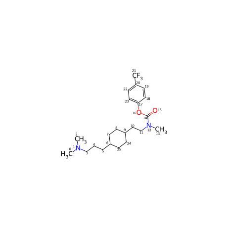 CN(C)CCCC1CCC(CCN(C)C(=O)Oc2ccc(C(F)(F)F)cc2)CC1